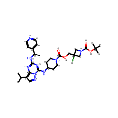 CC(C)c1cnn2c(NC3CCN(C(=O)OCC4(F)CN(C(=O)OC(C)(C)C)C4)CC3)nc(N[C@H](C)c3ccncc3)nc12